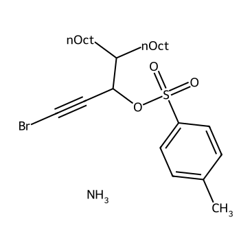 CCCCCCCCC(CCCCCCCC)C(C#CBr)OS(=O)(=O)c1ccc(C)cc1.N